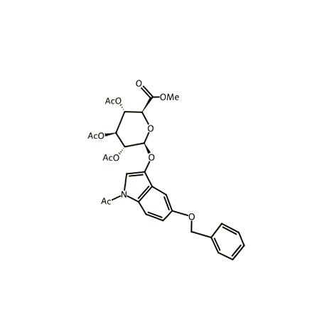 COC(=O)[C@H]1O[C@@H](Oc2cn(C(C)=O)c3ccc(OCc4ccccc4)cc23)[C@H](OC(C)=O)[C@@H](OC(C)=O)[C@@H]1OC(C)=O